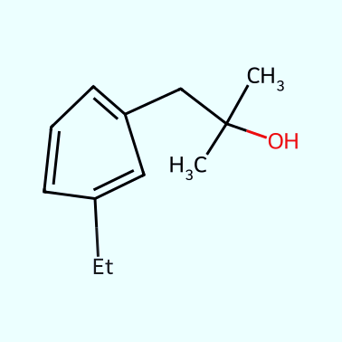 CCc1cccc(CC(C)(C)O)c1